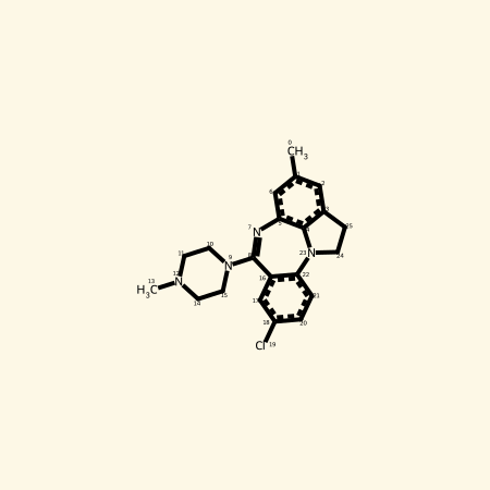 Cc1cc2c3c(c1)N=C(N1CCN(C)CC1)c1cc(Cl)ccc1N3CC2